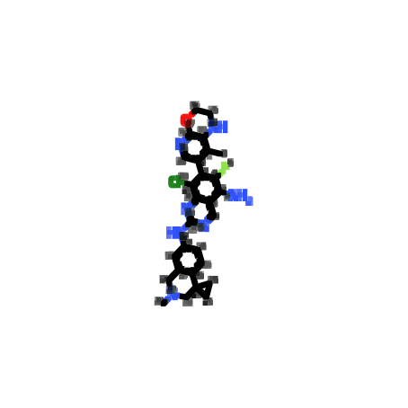 Cc1c(-c2c(F)c(N)c3cnc(Nc4ccc5c(c4)CN(C)CC54CC4)nc3c2Cl)cnc2c1NCCO2